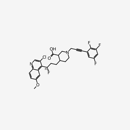 COc1ccc2ncc(Cl)c([C@H](F)CCC3CCN(CC#Cc4cc(F)cc(F)c4F)CC3C(=O)O)c2c1